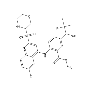 COC(=O)c1cc(C(O)C(F)(F)F)ccc1Nc1cc(S(=O)(=O)C2COCCN2)nc2ccc(Cl)cc12